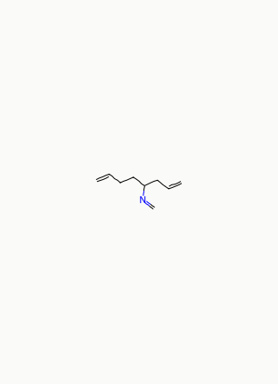 C=CCCC(CC=C)N=C